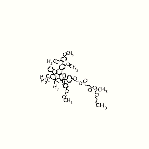 CCCCOCC(C)OC(=O)CCC(=O)OCCOc1ccc(C2(c3ccc(OCCOC)cc3)C=Cc3c4c(c5cc(-c6ccc(OC)cc6OC)c(OC)cc5c3O2)-c2ccccc2C42CC(C)(C)CC(C)(C)C2)cc1